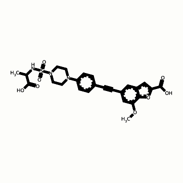 COc1cc(C#Cc2ccc(N3CCN(S(=O)(=O)NC(C)C(=O)O)CC3)cc2)cc2cc(C(=O)O)oc12